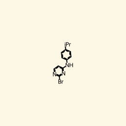 CC(C)c1ccc(Nc2ccnc(Br)n2)cc1